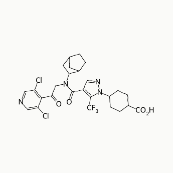 O=C(CN(C(=O)c1cnn(C2CCC(C(=O)O)CC2)c1C(F)(F)F)C1CC2CCC1C2)c1c(Cl)cncc1Cl